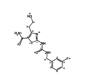 NC(=O)c1sc(NC(=O)NCc2cccc(F)c2)nc1[CH]CO